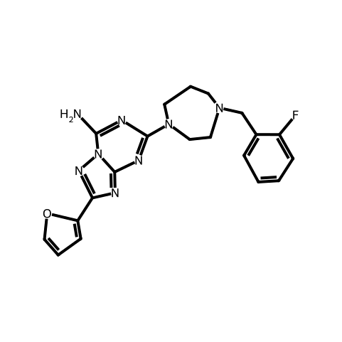 Nc1nc(N2CCCN(Cc3ccccc3F)CC2)nc2nc(-c3ccco3)nn12